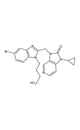 O=C(O)CCCn1c(Cn2c(=O)n(C3CC3)c3ccncc32)nc2cc(Br)ccc21